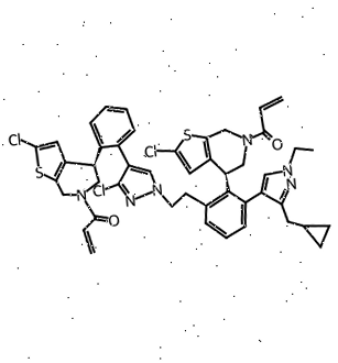 C=CC(=O)N1Cc2sc(Cl)cc2[C@@H](c2ccccc2-c2cn(CCc3cccc(-c4cn(CC)nc4CC4CC4)c3[C@@H]3CN(C(=O)C=C)Cc4sc(Cl)cc43)nc2Cl)C1